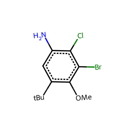 COc1c(C(C)(C)C)cc(N)c(Cl)c1Br